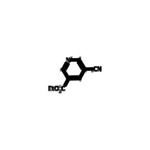 CCOC(=O)c1cncc(C#N)c1